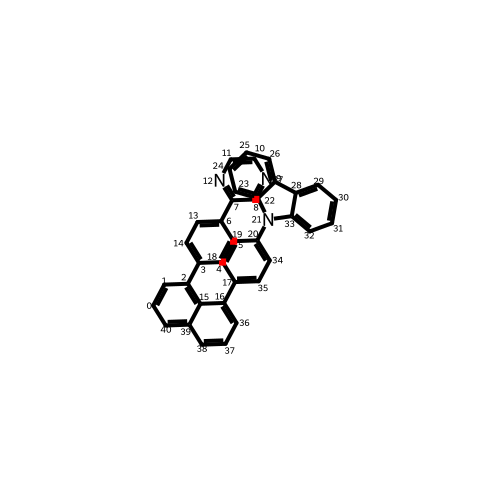 c1cc(-c2ccc(-c3cnccn3)cc2)c2c(-c3ccc(-n4c5ccccc5c5ccccc54)cc3)cccc2c1